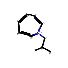 C[C](C)CN1C=CC=CC=C1